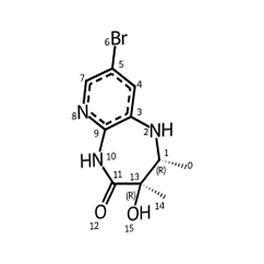 C[C@H]1Nc2cc(Br)cnc2NC(=O)[C@]1(C)O